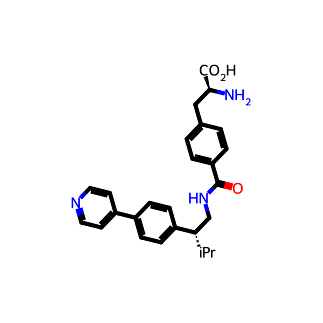 CC(C)[C@@H](CNC(=O)c1ccc(C[C@H](N)C(=O)O)cc1)c1ccc(-c2ccncc2)cc1